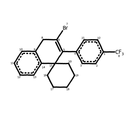 FC(F)(F)c1ccc(C2=C(Br)Cc3ccccc3C23CCCCC3)cc1